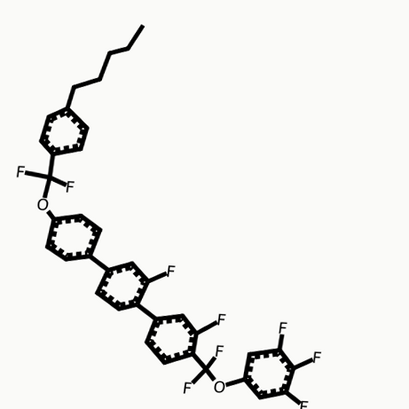 CCCCCc1ccc(C(F)(F)Oc2ccc(-c3ccc(-c4ccc(C(F)(F)Oc5cc(F)c(F)c(F)c5)c(F)c4)c(F)c3)cc2)cc1